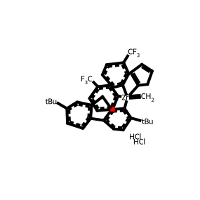 Cl.Cl.[CH2]=[Zr]([C]1=CC=CC1)([c]1cccc(C(F)(F)F)c1)([c]1cccc(C(F)(F)F)c1)[c]1c(C(C)(C)C)ccc2c1Cc1cc(C(C)(C)C)ccc1-2